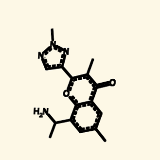 Cc1cc(C(C)N)c2oc(-c3cnn(C)n3)c(C)c(=O)c2c1